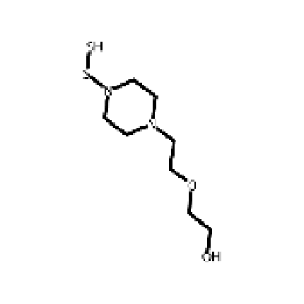 OCCOCCN1CCN(SS)CC1